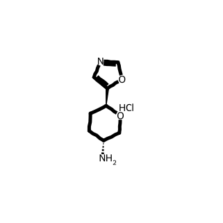 Cl.N[C@@H]1CC[C@@H](c2cnco2)OC1